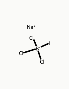 Cl[B-](Cl)(Cl)I.[Na+]